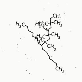 CCCCCCCC(CCCCCCC)C(C)(C)CC(C)(C)N(CC)CC(C)(C)CC